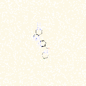 O=C(c1ccc(-n2ncc3c2CCNC3)nc1)N1CCC(F)(F)CC1